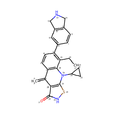 C=C1c2ccc(-c3ccc4c(c3)CNC4)c(CC)c2N(C2CC2)c2s[nH]c(=O)c21